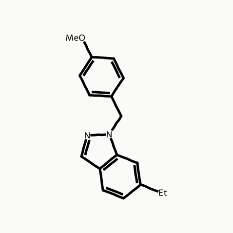 CCc1ccc2cnn(Cc3ccc(OC)cc3)c2c1